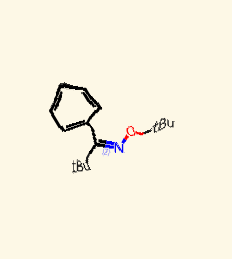 CC(C)(C)O/N=C(\c1ccccc1)C(C)(C)C